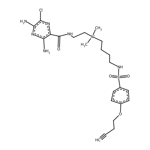 C#CCCOc1ccc(S(=O)(=O)NCCCC[N+](C)(C)CCNC(=O)c2nc(Cl)c(N)nc2N)cc1